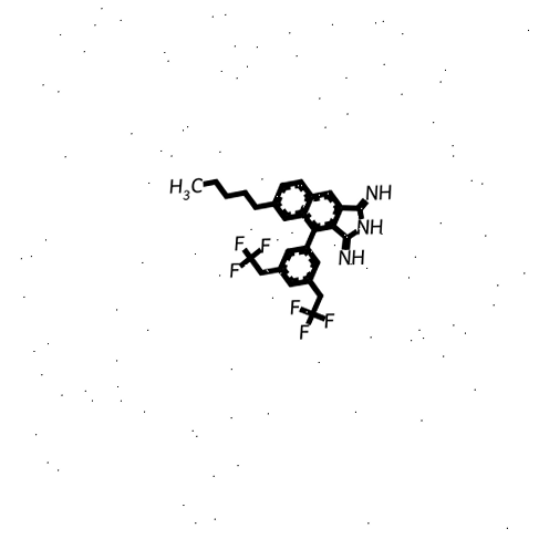 CCCCCc1ccc2cc3c(c(-c4cc(CC(F)(F)F)cc(CC(F)(F)F)c4)c2c1)C(=N)NC3=N